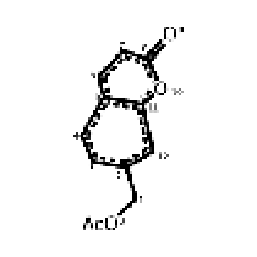 CC(=O)OCc1ccc2ccc(=O)oc2c1